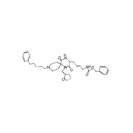 O=C(NCCCCC1NC(=O)C2(CCN(CCCCCc3ccccc3)CC2)N(CC2CCCO2)C1=O)OCc1ccccc1